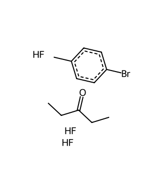 CCC(=O)CC.Cc1ccc(Br)cc1.F.F.F